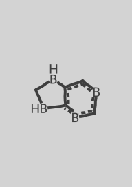 b1cbc2c(c1)BCB2